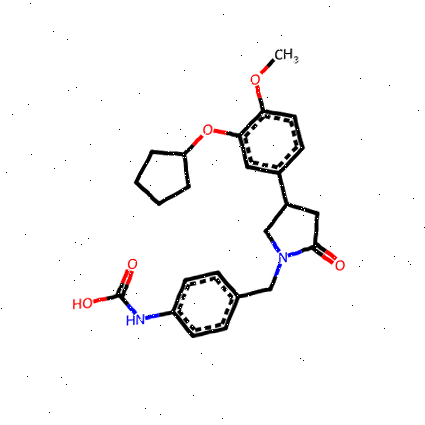 COc1ccc(C2CC(=O)N(Cc3ccc(NC(=O)O)cc3)C2)cc1OC1CCCC1